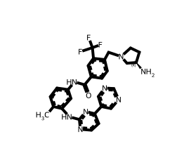 Cc1ccc(NC(=O)c2ccc(CN3CC[C@@H](N)C3)c(C(F)(F)F)c2)cc1Nc1nccc(-c2cncnc2)n1